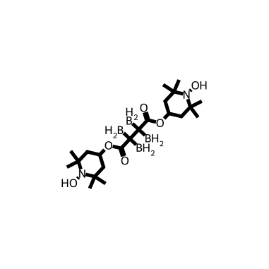 BC(B)(C(=O)OC1CC(C)(C)N(O)C(C)(C)C1)C(B)(B)C(=O)OC1CC(C)(C)N(O)C(C)(C)C1